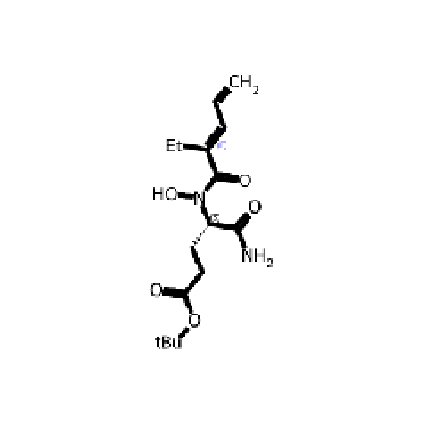 C=C/C=C(\CC)C(=O)N(O)[C@@H](CCC(=O)OC(C)(C)C)C(N)=O